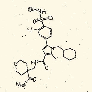 CNC(=O)C1(CNC(=O)c2cc(-c3ccc(S(=O)(=O)NC(C)(C)C)c(C(F)(F)F)c3)n(CC3CCCCC3)c2C)CCOCC1